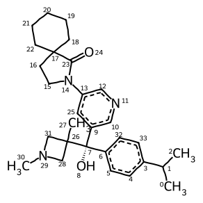 CC(C)c1ccc([C@](O)(c2cncc(N3CCC4(CCCCC4)C3=O)c2)C2(C)CN(C)C2)cc1